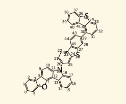 c1ccc2c(c1)oc1c2ccc2c1c1ccccc1n2-c1ccc2c(c1)sc1cc(-c3cccc4sc5ccccc5c34)ccc12